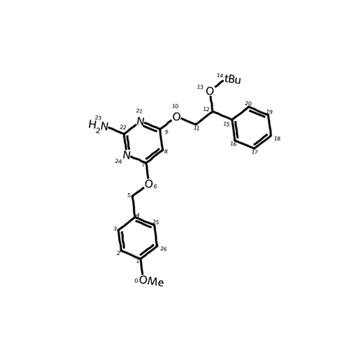 COc1ccc(COc2cc(OCC(OC(C)(C)C)c3ccccc3)nc(N)n2)cc1